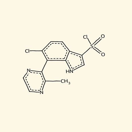 Cc1nccnc1-c1c(Cl)ccc2c(S(=O)(=O)Cl)c[nH]c12